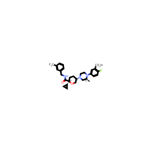 C[C@H]1CN([C@@H]2CC[C@@](C(=O)NCc3cccc(C(F)(F)F)c3)(C3CC3)OC2)CCN1c1ccc(F)c(C(=O)O)c1